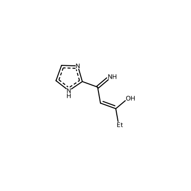 CC/C(O)=C/C(=N)c1ncc[nH]1